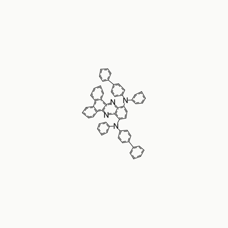 c1ccc(-c2ccc(N(c3ccccc3)c3ccc(N(c4ccccc4)c4ccc(-c5ccccc5)cc4)c4nc5c6ccccc6c6ccccc6c5nc34)cc2)cc1